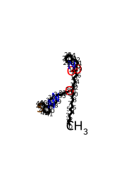 CCCCCCCCCCCC(CCCCCC(=O)Oc1ccc2ccccc2n1)OCCCCN1CCN(c2cccc3sccc23)CC1